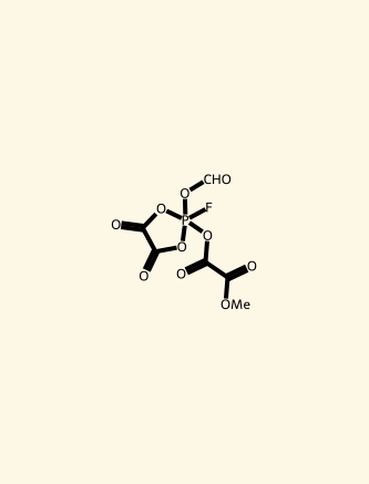 COC(=O)C(=O)OP1(F)(OC=O)OC(=O)C(=O)O1